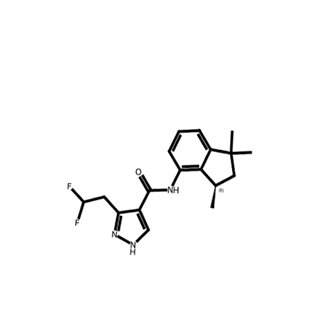 C[C@@H]1CC(C)(C)c2cccc(NC(=O)c3c[nH]nc3CC(F)F)c21